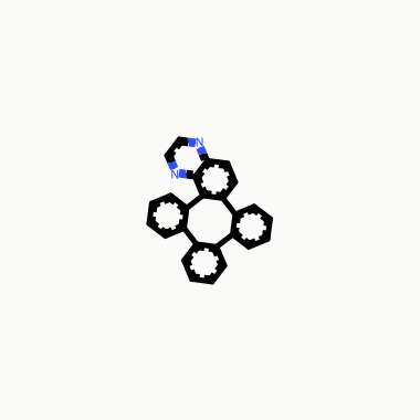 c1ccc2c(c1)-c1ccccc1-c1ccc3nccnc3c1-c1ccccc1-2